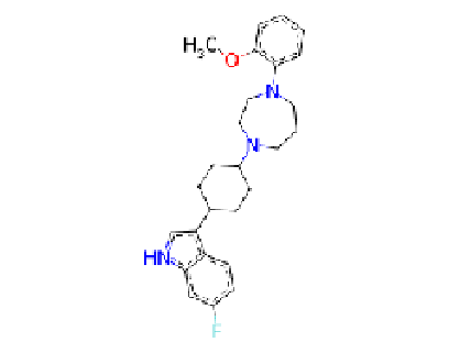 COc1ccccc1N1CCCN(C2CCC(c3c[nH]c4cc(F)ccc34)CC2)CC1